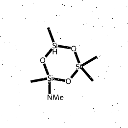 CN[Si]1(C)O[SiH](C)O[Si](C)(C)O1